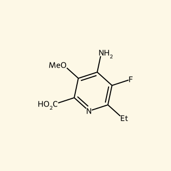 CCc1nc(C(=O)O)c(OC)c(N)c1F